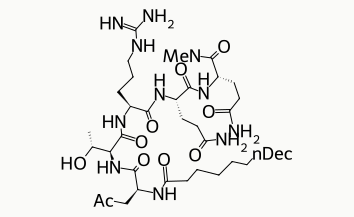 CCCCCCCCCCCCCCCC(=O)N[C@@H](CC(C)=O)C(=O)N[C@H](C(=O)N[C@@H](CCCNC(=N)N)C(=O)N[C@@H](CCC(N)=O)C(=O)N[C@@H](CCC(N)=O)C(=O)NC)[C@@H](C)O